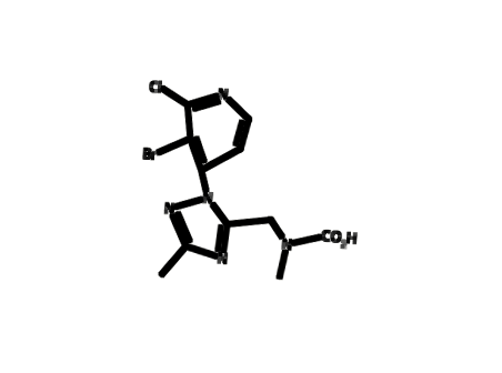 Cc1nc(CN(C)C(=O)O)n(-c2ccnc(Cl)c2Br)n1